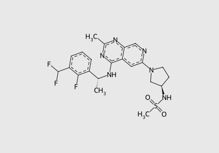 Cc1nc(N[C@H](C)c2cccc(C(F)F)c2F)c2cc(N3CC[C@@H](NS(C)(=O)=O)C3)ncc2n1